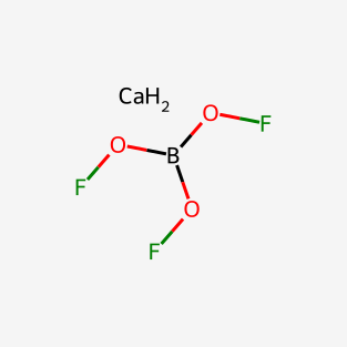 FOB(OF)OF.[CaH2]